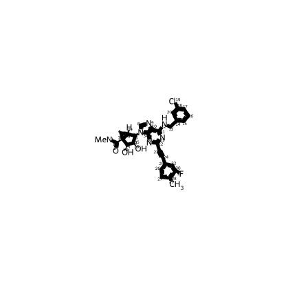 CNC(=O)[C@@]12C[C@@H]1[C@@H](n1cnc3c(NCc4cccc(Cl)c4)nc(C#Cc4ccc(C)c(F)c4)nc31)[C@H](O)[C@@H]2O